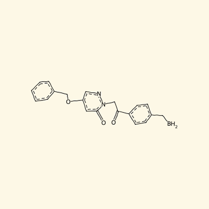 BCc1ccc(C(=O)Cn2ncc(OCc3ccccc3)cc2=O)cc1